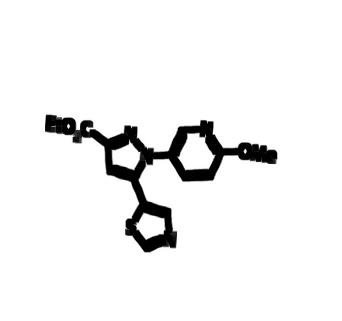 CCOC(=O)c1cc(-c2cncs2)n(-c2ccc(OC)nc2)n1